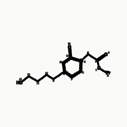 CC(C)OC(=O)Cn1ccc(CCCCO)cc1=O